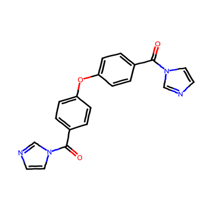 O=C(c1ccc(Oc2ccc(C(=O)n3ccnc3)cc2)cc1)n1ccnc1